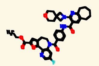 CCOC(=O)c1cc2c(o1)-c1ncc(F)cc1N(C(=O)c1ccc(NC(=O)c3cc4c(nc3N3CC5(CCOCC5)C3)CCCCC4)cc1)CC2